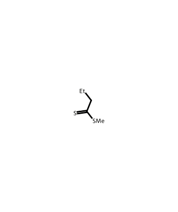 CCCC(=S)SC